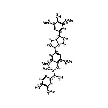 COc1cc(C(O)C(OC)Oc2c(OC)cc(C3OCC4C(c5cc(OC)c(O)c(OC)c5)OCC34)cc2OC)ccc1O